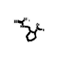 CCN(C(C)=O)C1CCCCC1CNC(=N)N